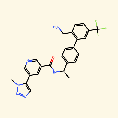 C[C@@H](NC(=O)c1cncc(-c2cnnn2C)c1)c1ccc(-c2cc(C(F)(F)F)ccc2CN)cc1